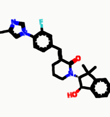 Cc1cn(-c2ccc(/C=C3\CCCN([C@H]4[C@H](O)c5ccccc5C4(C)C)C3=O)cc2F)cn1